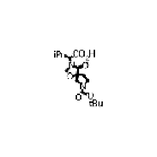 CC(C)C(C(=O)O)N1COC2(CCN(C(=O)OC(C)(C)C)C2)C1=O